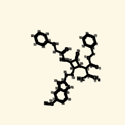 C=C(C)C(C(=O)OCc1ccccc1)N1C(=O)C(NC(=O)COc2ccccc2)C1SSc1nc2cc(OC)ccc2s1